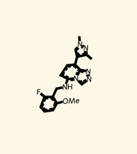 COc1cccc(F)c1CNc1ccc(-c2cn(C)nc2C)c2nncn12